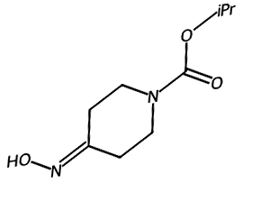 CC(C)OC(=O)N1CCC(=NO)CC1